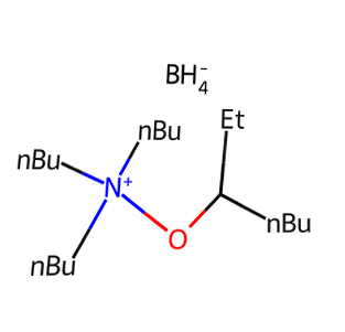 CCCCC(CC)O[N+](CCCC)(CCCC)CCCC.[BH4-]